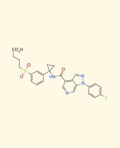 O=C(O)CCCS(=O)(=O)c1cccc(C2(NC(=O)c3cncc4c3cnn4-c3ccc(F)cc3)CC2)c1